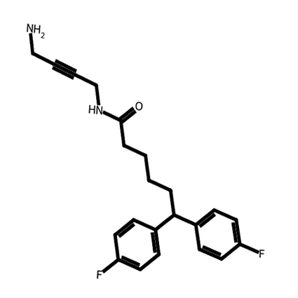 NCC#CCNC(=O)CCCCC(c1ccc(F)cc1)c1ccc(F)cc1